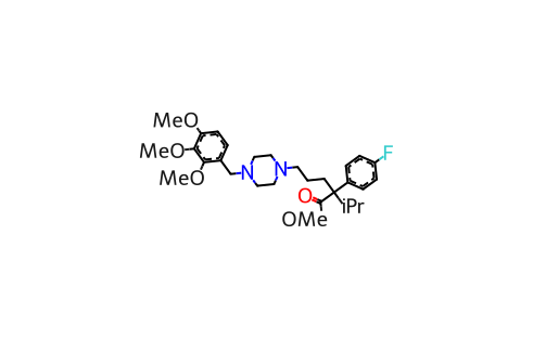 COC(=O)C(CCCN1CCN(Cc2ccc(OC)c(OC)c2OC)CC1)(c1ccc(F)cc1)C(C)C